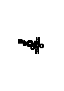 CCC(C)Oc1ccc(C2(C)NC(=O)NC2=O)cc1